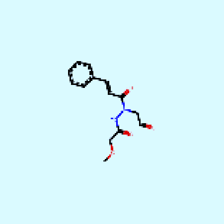 COCC(=O)NN(C[C]=O)C(=O)C=Cc1ccccc1